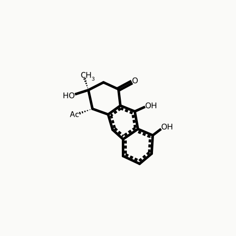 CC(=O)[C@H]1c2cc3cccc(O)c3c(O)c2C(=O)C[C@]1(C)O